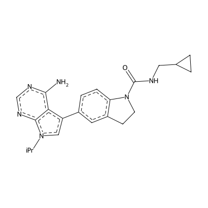 CC(C)n1cc(-c2ccc3c(c2)CCN3C(=O)NCC2CC2)c2c(N)ncnc21